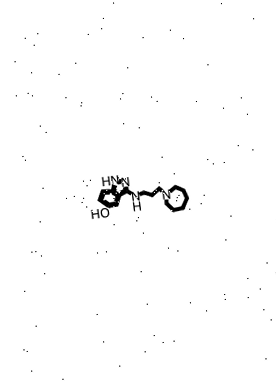 Oc1ccc2[nH]nc(NCCCN3CCCCCC3)c2c1